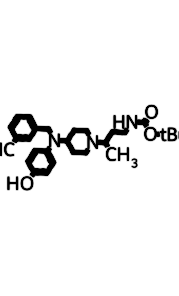 CC(CCNC(=O)OC(C)(C)C)N1CCC(N(Cc2cccc(C#N)c2)c2ccc(O)cc2)CC1